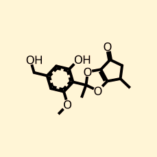 COc1cc(CO)cc(O)c1C1(C)OC2=C(O1)C(C)CC2=O